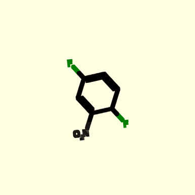 O=[N+]([O-])C1=CC(F)=C=CC1F